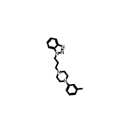 Cc1cccc(N2CCN(CCCn3nnc4ccccc43)CC2)c1